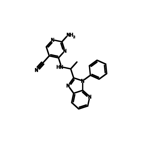 CC(Nc1nc(N)ncc1C#N)c1nc2cccnc2n1-c1ccccc1